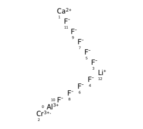 [Al+3].[Ca+2].[Cr+3].[F-].[F-].[F-].[F-].[F-].[F-].[F-].[F-].[F-].[Li+]